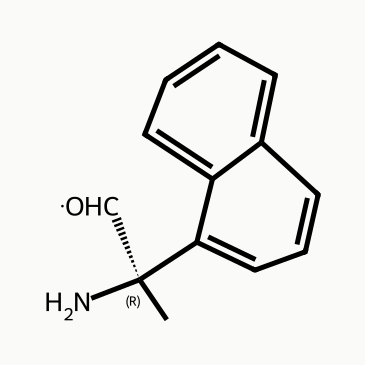 C[C@](N)([C]=O)c1cccc2ccccc12